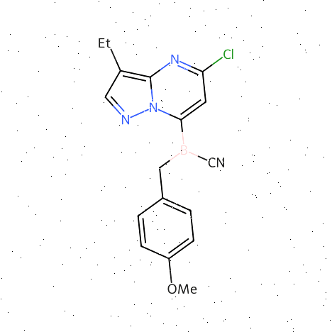 CCc1cnn2c(B(C#N)Cc3ccc(OC)cc3)cc(Cl)nc12